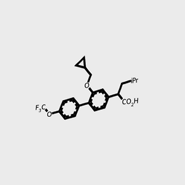 CC(C)CC(C(=O)O)c1ccc(-c2ccc(OC(F)(F)F)cc2)c(OCC2CC2)c1